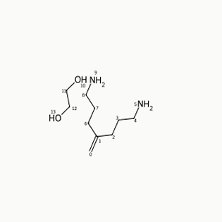 C=C(CCCN)CCCN.OCCO